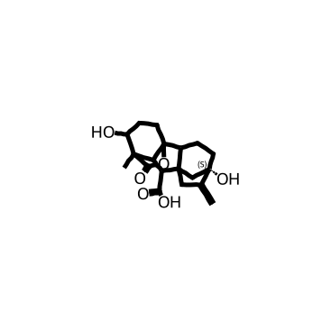 C=C1CC23C[C@@]1(O)CCC2C12CCC(O)C(C)(C(=O)O1)C2C3C(=O)O